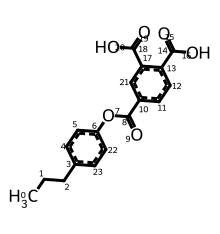 CCCc1ccc(OC(=O)c2ccc(C(=O)O)c(C(=O)O)c2)cc1